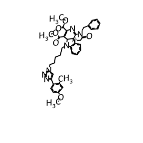 COC(=O)C1=C(C(=O)OC)C2N(CCCCCn3cc(-c4ccc(OC)cc4C)nn3)c3ccccc3[C@@]23CCC(=O)N(Cc2ccccc2)C3=N1